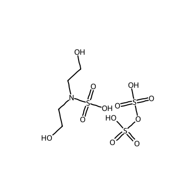 O=S(=O)(O)N(CCO)CCO.O=S(=O)(O)OS(=O)(=O)O